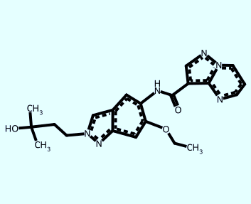 CCOc1cc2nn(CCC(C)(C)O)cc2cc1NC(=O)c1cnn2cccnc12